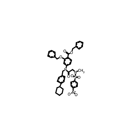 CN(CC(=O)N(Cc1ccc(C2CCCCC2)cc1)c1ccc(C(=O)OCc2ccccc2)c(OCc2ccccc2)c1)S(=O)(=O)c1ccc([N+](=O)[O-])cc1